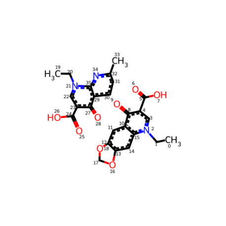 CCn1cc(C(=O)O)c(=O)c2cc3c(cc21)OCO3.CCn1cc(C(=O)O)c(=O)c2ccc(C)nc21